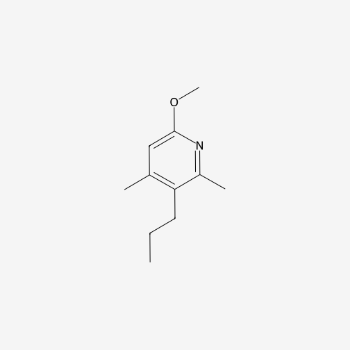 CCCc1c(C)cc(OC)nc1C